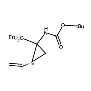 C=C[C@H]1CC1(NC(=O)OC(C)(C)C)C(=O)OCC